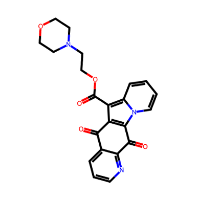 O=C1c2cccnc2C(=O)c2c1c(C(=O)OCCN1CCOCC1)c1ccccn21